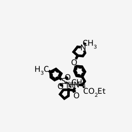 CCOC(=O)[C@H](Cc1ccc(OC2CCN(C)CC2)cc1)NC(=O)C1(N(C)S(=O)(=O)c2ccc(C)cc2)CCCC1